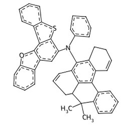 CC1(C)c2ccccc2-c2c3c(c(N(c4ccccc4)c4cc5c6ccccc6oc5c5c4sc4ccccc45)c4c2C1CC=C4)CCC=C3